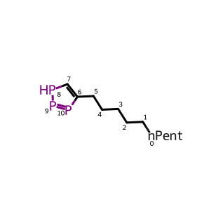 CCCCCCCCCCc1c[pH]pp1